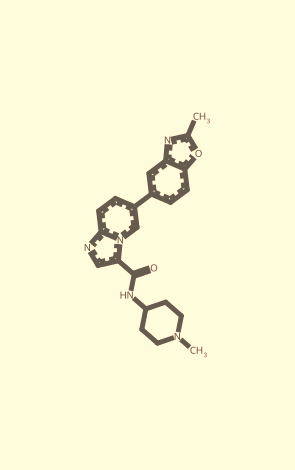 Cc1nc2cc(-c3ccc4ncc(C(=O)NC5CCN(C)CC5)n4c3)ccc2o1